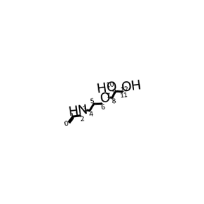 C=CCNCCCOCC(O)CO